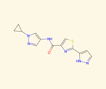 O=C(Nc1cnn(C2CC2)c1)c1csc(-c2ccn[nH]2)n1